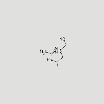 CC(CSCO)NC(=N)N